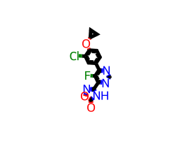 O=c1[nH]c(-c2ncnc(-c3ccc(OC4CC4)c(Cl)c3)c2F)no1